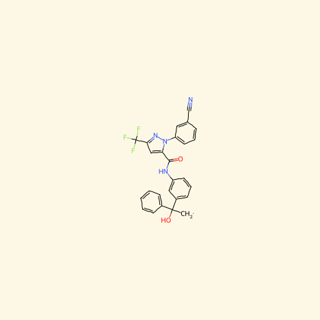 [CH2]C(O)(c1ccccc1)c1cccc(NC(=O)c2cc(C(F)(F)F)nn2-c2cccc(C#N)c2)c1